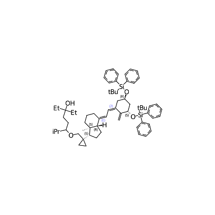 C=C1/C(=C\C=C2/CCC[C@]3(C)[C@@H](C4(COC(CCC(O)(CC)CC)C(C)C)CC4)CC[C@@H]23)C[C@@H](O[Si](c2ccccc2)(c2ccccc2)C(C)(C)C)C[C@@H]1O[Si](c1ccccc1)(c1ccccc1)C(C)(C)C